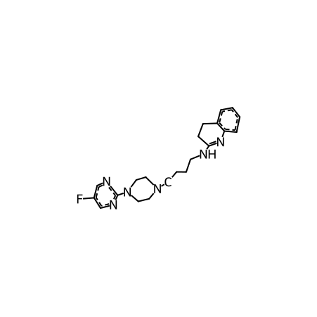 Fc1cnc(N2CCN(CCCCNC3=Nc4ccccc4CC3)CC2)nc1